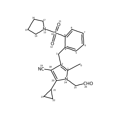 Cc1c(Cc2ccccc2S(=O)(=O)N2CCCC2)c(C#N)c(C2CC2)n1CC=O